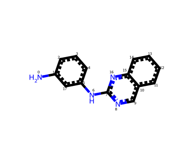 Nc1cccc(Nc2ncc3ccccc3n2)c1